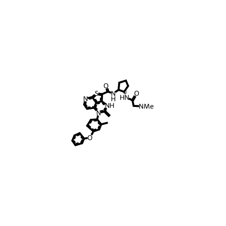 C=c1[nH]c2c(C(=O)NC3CCC[C@@H]3NC(=O)CNC)sc3nccc(c32)n1-c1ccc(Oc2ccccc2)cc1C